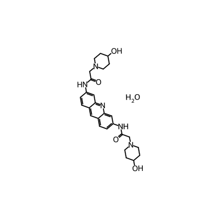 O.O=C(CN1CCC(O)CC1)Nc1ccc2cc3ccc(NC(=O)CN4CCC(O)CC4)cc3nc2c1